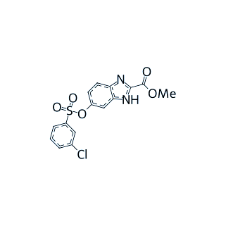 COC(=O)c1nc2ccc(OS(=O)(=O)c3cccc(Cl)c3)cc2[nH]1